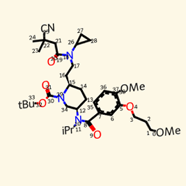 COCCCOc1cc(C(=O)N(C(C)C)[C@@H]2CC[C@H](CCN(C(=O)CC(C)(C)C#N)C3CC3)N(C(=O)OC(C)(C)C)C2)ccc1OC